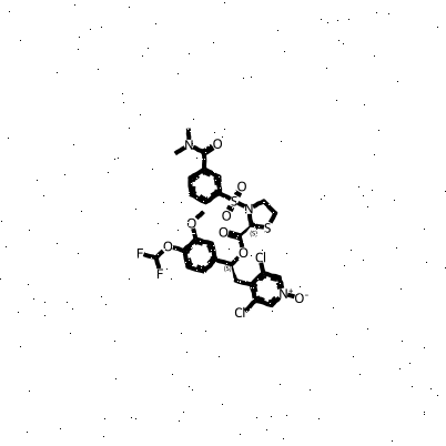 COc1cc([C@H](Cc2c(Cl)c[n+]([O-])cc2Cl)OC(=O)[C@@H]2SCCN2S(=O)(=O)c2cccc(C(=O)N(C)C)c2)ccc1OC(F)F